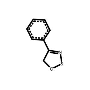 c1ccc(C2=NSOC2)cc1